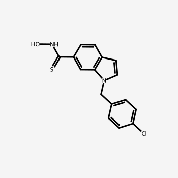 ONC(=S)c1ccc2ccn(Cc3ccc(Cl)cc3)c2c1